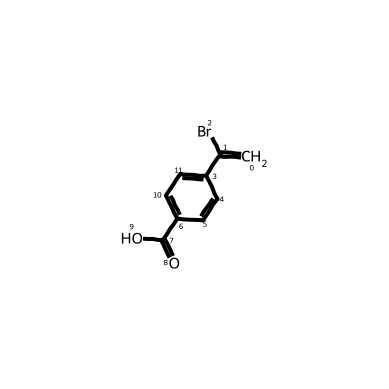 C=C(Br)c1ccc(C(=O)O)cc1